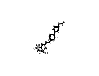 CCCc1ccc(-c2ccc(CCCCC(P(=O)(O)O)S(=O)(=O)O)cc2)cc1